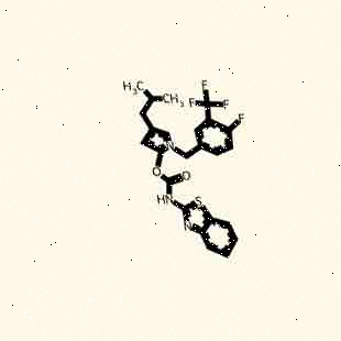 CC(C)Cc1cc(OC(=O)Nc2nc3ccccc3s2)n(Cc2ccc(F)c(C(F)(F)F)c2)c1